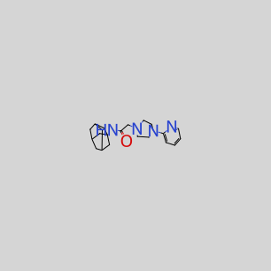 O=C(CN1CCN(c2ccccn2)CC1)NC12CC3CC(CC(C3)C1)C2